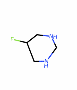 FC1CNCNC1